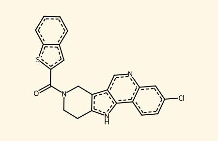 O=C(c1cc2ccccc2s1)N1CCc2[nH]c3c(cnc4cc(Cl)ccc43)c2C1